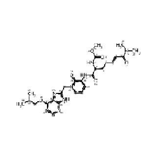 COC(=O)N[C@@H](CC/C=C/C(=O)N(C)C)C(=O)Nc1cccn(Cc2nc3c(OCC(C)C)ncnc3[nH]2)c1=O